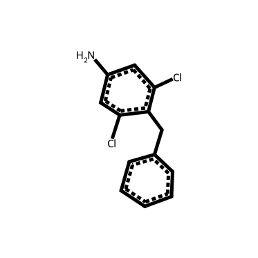 Nc1cc(Cl)c(Cc2ccccc2)c(Cl)c1